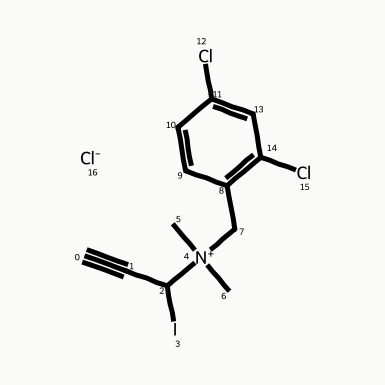 C#CC(I)[N+](C)(C)Cc1ccc(Cl)cc1Cl.[Cl-]